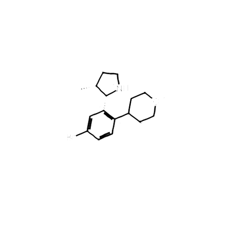 C[C@@H]1CCN[C@@H]1c1cc(Br)ccc1C1CCOCC1